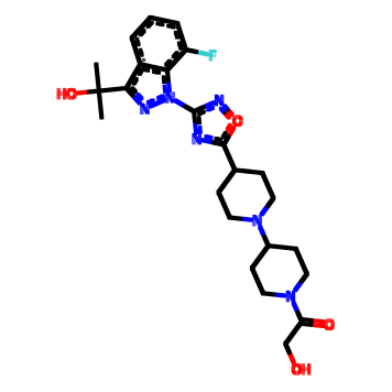 CC(C)(O)c1nn(-c2noc(C3CCN(C4CCN(C(=O)CO)CC4)CC3)n2)c2c(F)cccc12